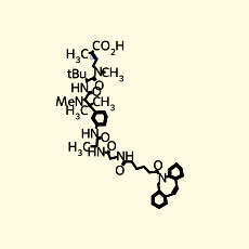 CNC(C(=O)NC(C(=O)N(C)C/C=C(\C)C(=O)O)C(C)(C)C)C(C)(C)c1cccc(NC(=O)C(C)NC(=O)CNC(=O)CCCCC(=O)N2Cc3ccccc3C#Cc3ccccc32)c1